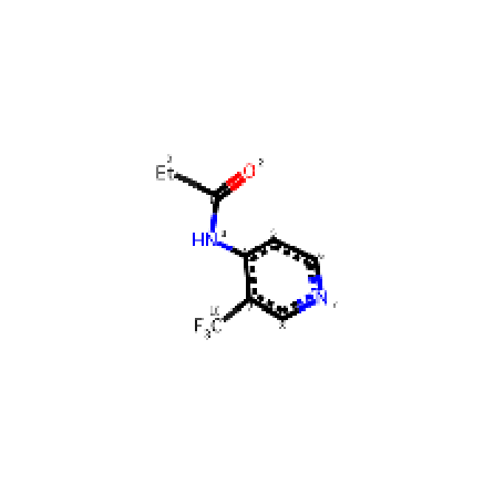 CCC(=O)Nc1ccncc1C(F)(F)F